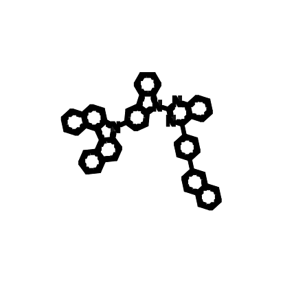 c1ccc2cc(-c3ccc(-c4nc(-n5c6ccccc6c6cc(-n7c8ccc9ccccc9c8c8c9ccccc9ccc87)ccc65)nc5ccccc45)cc3)ccc2c1